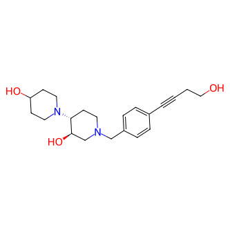 OCCC#Cc1ccc(CN2CC[C@@H](N3CCC(O)CC3)[C@H](O)C2)cc1